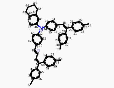 Cc1ccc(C(=C/C=C/c2ccc(N(c3ccc(C=C(c4ccc(C)cc4)c4ccc(C)cc4)cc3)c3ccc4c(c3)CCCC4)cc2)c2ccc(C)cc2)cc1